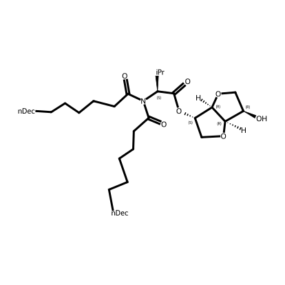 CCCCCCCCCCCCCCCC(=O)N(C(=O)CCCCCCCCCCCCCCC)[C@H](C(=O)O[C@H]1CO[C@H]2[C@@H]1OC[C@H]2O)C(C)C